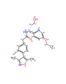 Cc1noc(C)c1-c1ccc(CC(=O)N[C@H](CCO)c2ccc(OCC(F)(F)F)cn2)cc1F